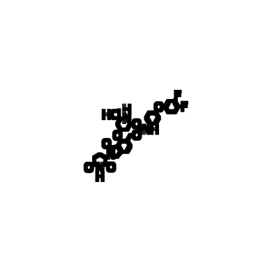 Cl.O=C1CCC(N2Cc3ccc(COC(=O)Nc4ccc(Oc5ccc(F)c(F)c5)cc4)c(OC4CCNCC4)c3C2=O)C(=O)N1